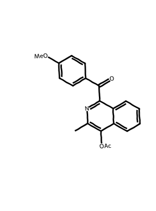 COc1ccc(C(=O)c2nc(C)c(OC(C)=O)c3ccccc23)cc1